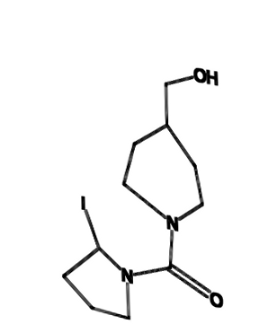 O=C(N1CCC(CO)CC1)N1CCCC1I